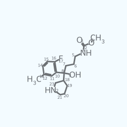 COC(=O)NCCCC(O)(c1cc(C)ccc1F)C1CCCNC1